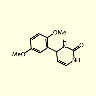 COc1ccc(OC)c(C2C=CNC(=O)N2)c1